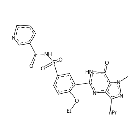 CCCc1nn(C)c2c(=O)[nH]c(-c3cc(S(=O)(=O)NC(=O)c4cccnc4)ccc3OCC)nc12